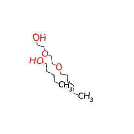 CCCCCCOCCOCCO.CCCCCO